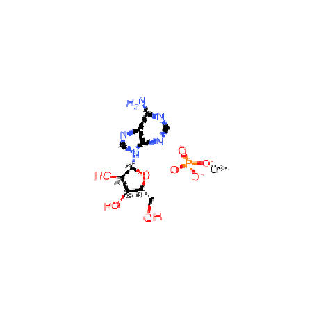 Nc1ncnc2c1ncn2[C@@H]1O[C@H](CO)[C@@H](O)[C@H]1O.O=P([O-])([O-])[O-].[Cr+3]